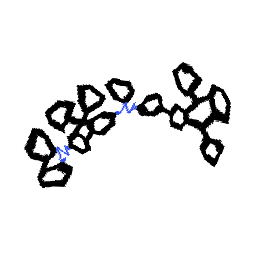 c1ccc(-c2c3ccccc3c(-c3ccccc3)c3cc(-c4ccc(N(c5ccccc5)c5ccc6c(c5)C(c5ccccc5)(c5ccccc5)c5cc(-n7c8ccccc8c8ccccc87)ccc5-6)cc4)ccc23)cc1